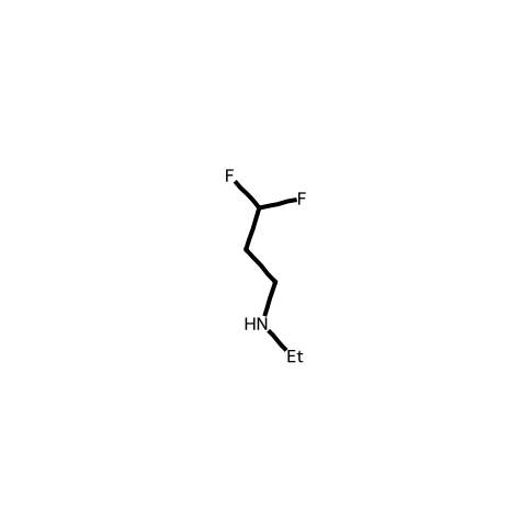 CCNCCC(F)F